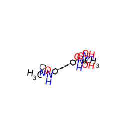 C[C@@H](O)[C@H](NC(=O)c1ccc(C#CC#Cc2ccc(NC(=O)CN(C)C3CCCCC3)cc2)cc1)C(=O)NO